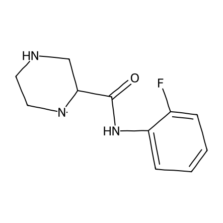 O=C(Nc1ccccc1F)C1CNCC[N]1